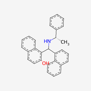 C[C@H](NC(c1cccc2ccccc12)c1c(O)ccc2ccccc12)c1ccccc1